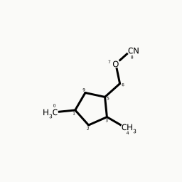 CC1CC(C)C(COC#N)C1